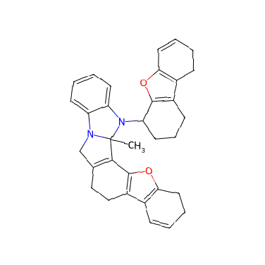 CC12C3=C(CCc4c3oc3c4C=CCC3)CN1c1ccccc1N2C1CCCc2c1oc1c2CCC=C1